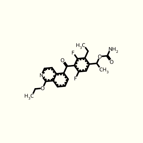 CCOc1nccc2c(C(=O)c3c(F)cc(C(C)OC(N)=O)c(CC)c3F)cccc12